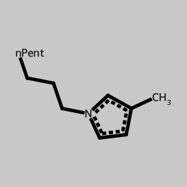 CCCCCCCCn1ccc(C)c1